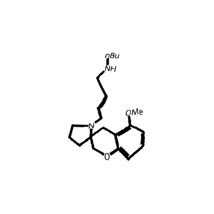 CCCCNCCCCN1CCCC12COc1cccc(OC)c1C2